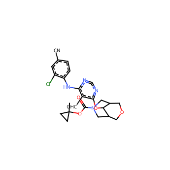 CC1(OC(=O)N2CC3COCC(C2)C3Oc2ncnc(Nc3ccc(C#N)cc3Cl)c2C=O)CC1